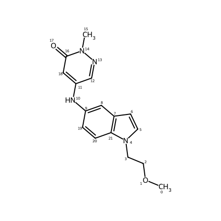 COCCn1ccc2cc(Nc3cnn(C)c(=O)c3)ccc21